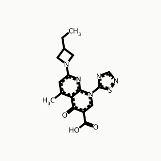 CCC1CN(c2cc(C)c3c(=O)c(C(=O)O)cn(-c4ncns4)c3n2)C1